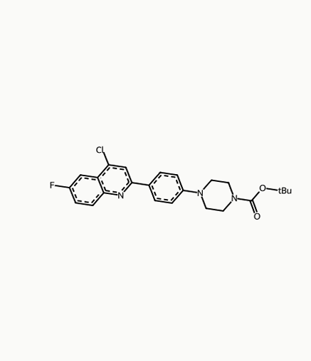 CC(C)(C)OC(=O)N1CCN(c2ccc(-c3cc(Cl)c4cc(F)ccc4n3)cc2)CC1